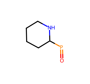 O=PC1CCCCN1